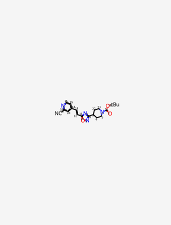 CC(C)(C)OC(=O)N1CCC(c2noc(C=Cc3ccnc(C#N)c3)n2)CC1